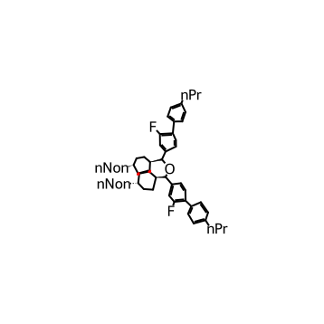 CCCCCCCCC[C@H]1CC[C@H](C(OC(c2ccc(-c3ccc(CCC)cc3)c(F)c2)[C@H]2CC[C@H](CCCCCCCCC)CC2)c2ccc(-c3ccc(CCC)cc3)c(F)c2)CC1